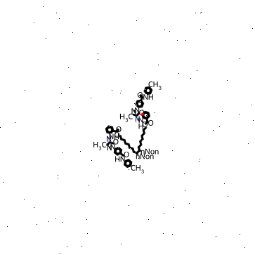 CCCCCCCCCC(CCCCCCCCOC(=O)c1ccccc1N/N=C1\C(=O)N(c2ccc(C(=O)Nc3ccc(C)cc3)cc2)N=C1C)C(CCCCCCCCC)CCCCCCCCOC(=O)c1ccccc1N/N=C1\C(=O)N(c2ccc(C(=O)Nc3ccc(C)cc3)cc2)N=C1C